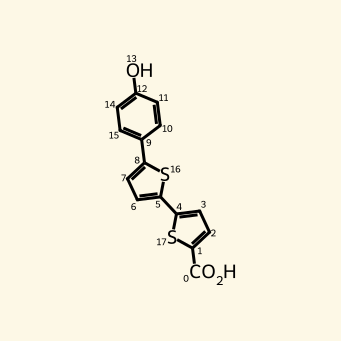 O=C(O)c1ccc(-c2ccc(-c3ccc(O)cc3)s2)s1